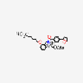 [2H]C([2H])(COC)N(Cc1ccccc1OCCCCCC(=O)O)C(=O)c1ccc(-c2ccco2)cc1